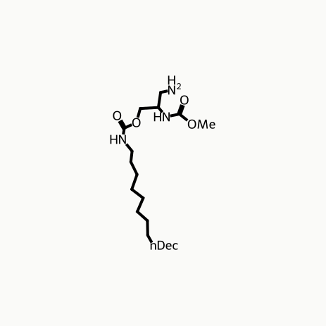 CCCCCCCCCCCCCCCCCCNC(=O)OCC(CN)NC(=O)OC